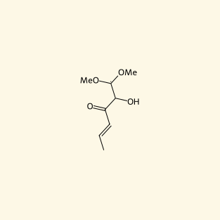 CC=CC(=O)C(O)[C](OC)OC